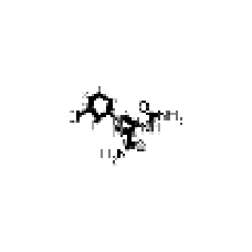 NC(=O)Nc1cn(-c2cccc(Cl)c2F)nc1C(N)=O